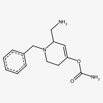 NCC1C=C(OC(N)=O)CCN1Cc1ccccc1